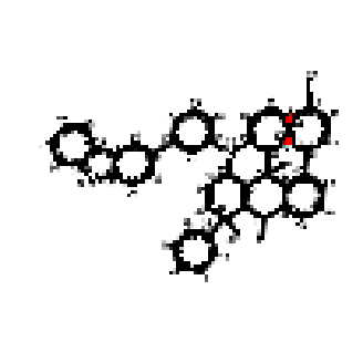 CC1C2=C3C(C)(c4ccccc4N(c4cccc(-c5ccc6sc7ccccc7c6c5)c4)C3(C)C=CC2(C)c2ccccc2)c2c(-c3ccc(F)cc3)cccc21